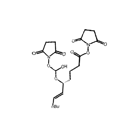 CCCC/C=C/[C@@H](CCCC(=O)ON1C(=O)CCC1=O)OC(O)ON1C(=O)CCC1=O